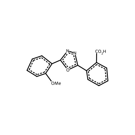 COc1ccccc1-c1nnc(-c2ccccc2C(=O)O)o1